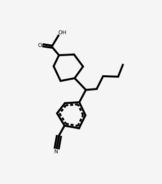 CCCCC(c1ccc(C#N)cc1)C1CCC(C(=O)O)CC1